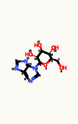 OC[C@H]1OC(n2cncc3ncnc2-3)[C@H](O)[C@@H](O)[C@@H]1O